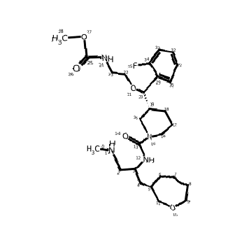 CNCC(C[C@H]1CCCCOC1)NC(=O)N1CCC[C@@H](C(OCCNC(=O)OC)c2ccccc2F)C1